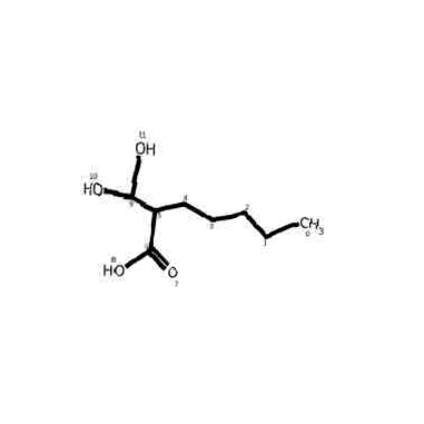 CCCCCC(C(=O)O)C(O)O